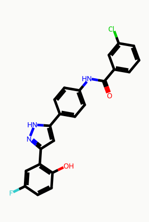 O=C(Nc1ccc(-c2cc(-c3cc(F)ccc3O)n[nH]2)cc1)c1cccc(Cl)c1